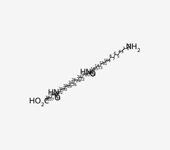 NCCCCCCCCCCCCCCCCC(=O)NCCCCCCCCCCCCCNC(=O)CCCC(=O)O